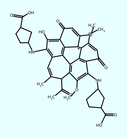 COc1c(NC2CCC(C(=O)O)C2)c2c(=O)cc(OC)c3c4c(OC)cc(=O)c5c(O)c(NC6CCC(C(=O)O)C6)c6c(c(c1C(C(C)=O)C(C)=C6)c23)c54